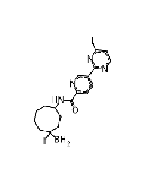 BC1(I)CCCCC(NC(=O)c2ccc(-c3nccc(I)n3)cn2)CC1